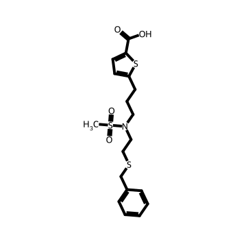 CS(=O)(=O)N(CCCc1ccc(C(=O)O)s1)CCSCc1ccccc1